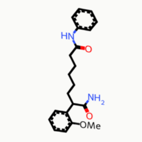 COc1ccccc1C(CCCCCC(=O)Nc1ccccc1)C(N)=O